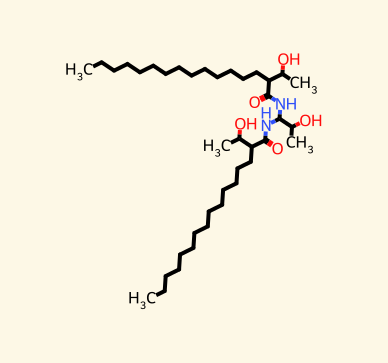 CCCCCCCCCCCCCCC(C(=O)NC(NC(=O)C(CCCCCCCCCCCCCC)C(C)O)C(C)O)C(C)O